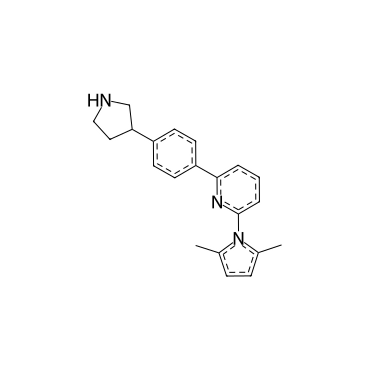 Cc1ccc(C)n1-c1cccc(-c2ccc(C3CCNC3)cc2)n1